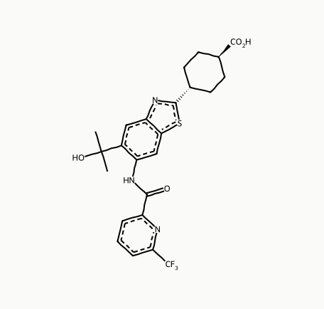 CC(C)(O)c1cc2nc([C@H]3CC[C@H](C(=O)O)CC3)sc2cc1NC(=O)c1cccc(C(F)(F)F)n1